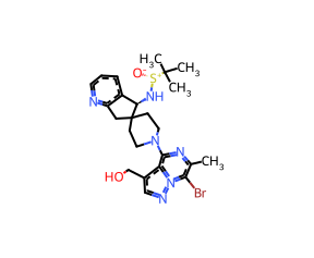 Cc1nc(N2CCC3(CC2)Cc2ncccc2[C@H]3N[S@+]([O-])C(C)(C)C)c2c(CO)cnn2c1Br